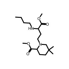 CCCCNC(CCN1CC(C)(C)CCC1C(=O)OC)C(=O)OC